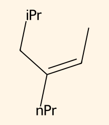 CC=C(CCC)CC(C)C